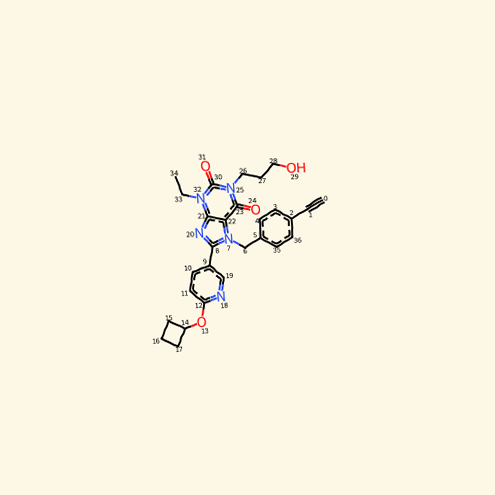 C#Cc1ccc(Cn2c(-c3ccc(OC4CCC4)nc3)nc3c2c(=O)n(CCCO)c(=O)n3CC)cc1